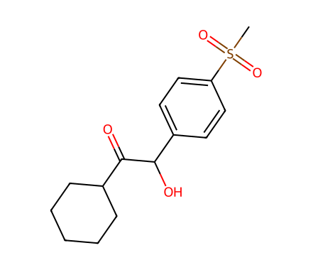 CS(=O)(=O)c1ccc(C(O)C(=O)C2CCCCC2)cc1